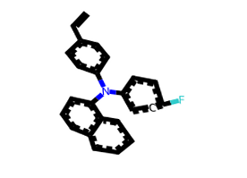 C=Cc1ccc(N(c2ccc(F)cc2)c2cccc3ccccc23)cc1